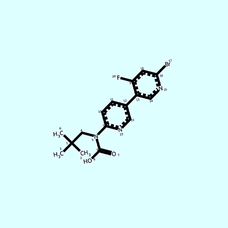 CC(C)(C)CN(C(=O)O)c1ccc(-c2cnc(Br)cc2F)cn1